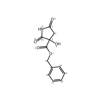 O=C1CC(O)(C(=O)OCc2ccccc2)C(=O)N1